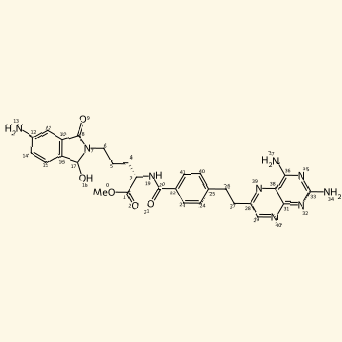 COC(=O)[C@H](CCCN1C(=O)c2cc(N)ccc2C1O)NC(=O)c1ccc(CCc2cnc3nc(N)nc(N)c3n2)cc1